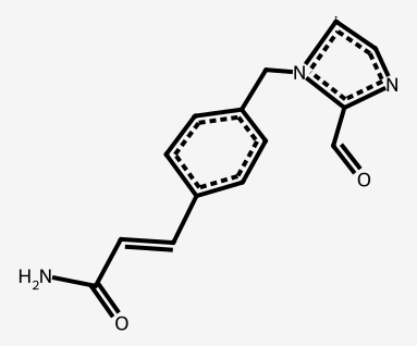 NC(=O)C=Cc1ccc(Cn2[c]cnc2C=O)cc1